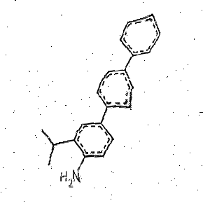 CC(C)c1cc(-c2ccc(-c3ccccc3)cc2)ccc1N